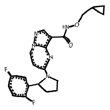 O=C(NOCC1CC1)c1cnn2ccc(N3CCCC3c3cc(F)ccc3F)nc12